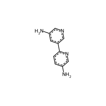 Nc1ccc(-c2cncc(N)c2)nc1